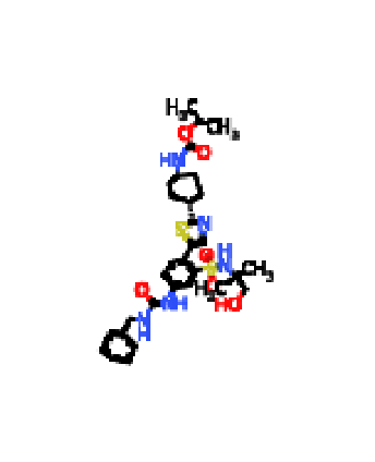 CC(C)OC(=O)N[C@H]1CC[C@H](c2ncc(-c3ccc(NC(=O)NCc4ccccc4)cc3S(=O)(=O)NC(C)(C)CO)s2)CC1